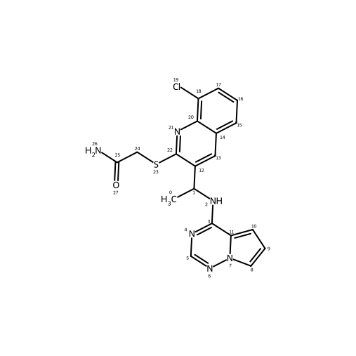 CC(Nc1ncnn2cccc12)c1cc2cccc(Cl)c2nc1SCC(N)=O